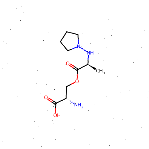 C[C@H](NN1CCCC1)C(=O)OC[C@H](N)C(=O)O